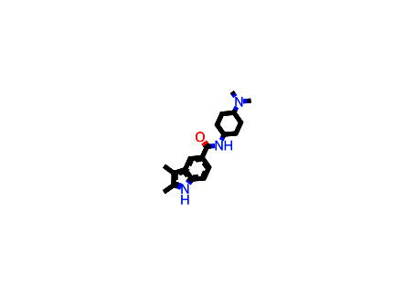 Cc1[nH]c2ccc(C(=O)NC3CCC(N(C)C)CC3)cc2c1C